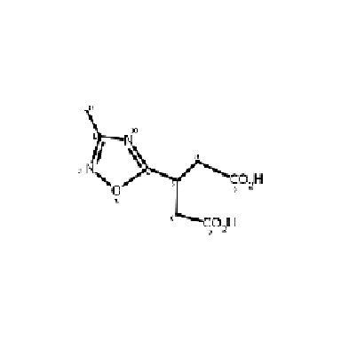 Cc1noc(C(CC(=O)O)CC(=O)O)n1